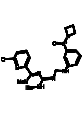 CCC(C)NC(=N/CNc1cccc([S+]([O-])N2CCC2)c1)/N=C(\NC)c1cccc(Cl)n1